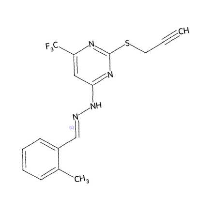 C#CCSc1nc(N/N=C/c2ccccc2C)cc(C(F)(F)F)n1